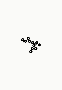 c1ccc(-c2cccc(-n3c4ccc(-c5ccc6c(c5)c5ccccc5n6-c5ccc6sc7ccccc7c6c5)cc4c4cc(-c5ccc(-c6ccccc6)cc5-c5ccccc5)ccc43)c2)cc1